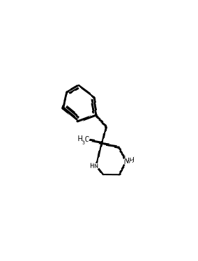 CC1(Cc2ccccc2)CNCCN1